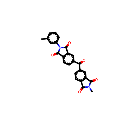 Cc1cccc(N2C(=O)c3ccc(C(=O)c4ccc5c(c4)C(=O)N(C)C5=O)cc3C2=O)c1